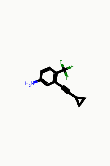 Nc1ccc(C(F)(F)F)c(C#CC2CC2)c1